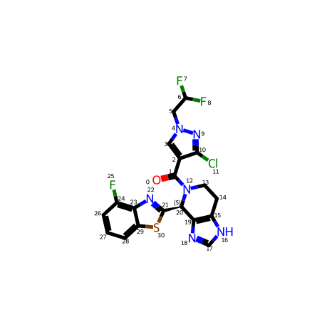 O=C(c1cn(CC(F)F)nc1Cl)N1CCc2[nH]cnc2[C@H]1c1nc2c(F)cccc2s1